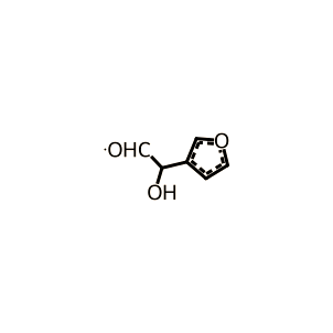 O=[C]C(O)c1ccoc1